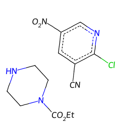 CCOC(=O)N1CCNCC1.N#Cc1cc([N+](=O)[O-])cnc1Cl